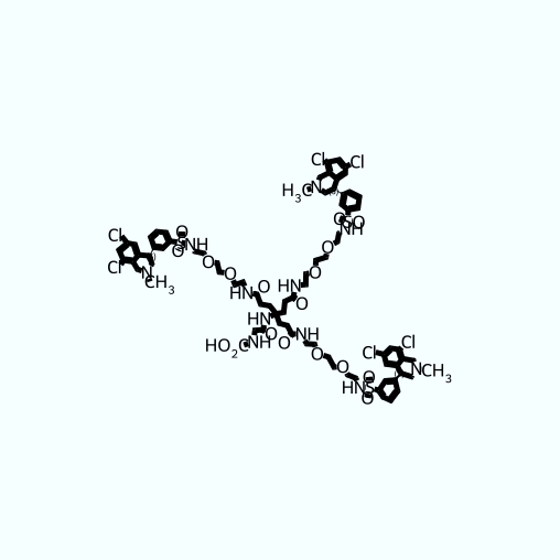 CN1Cc2c(Cl)cc(Cl)cc2[C@H](c2cccc(S(=O)(=O)NCCOCCOCCNC(=O)CCC(CCC(=O)NCCOCCOCCNS(=O)(=O)c3cccc([C@@H]4CN(C)Cc5c(Cl)cc(Cl)cc54)c3)(CCC(=O)NCCOCCOCCNS(=O)(=O)c3cccc([C@@H]4CN(C)Cc5c(Cl)cc(Cl)cc54)c3)NC(=O)CNC(=O)O)c2)C1